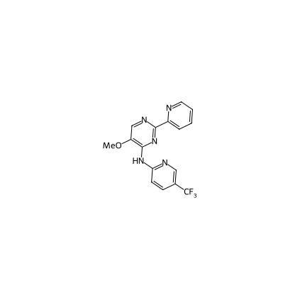 COc1cnc(-c2ccccn2)nc1Nc1ccc(C(F)(F)F)cn1